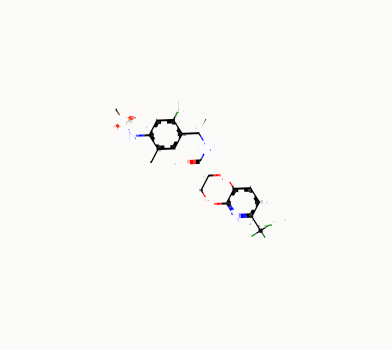 Cc1cc([C@@H](C)NC(=O)[C@H]2COc3nc(C(F)(F)F)ccc3O2)c(F)cc1NS(C)(=O)=O